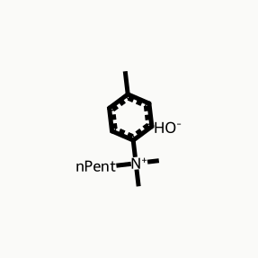 CCCCC[N+](C)(C)c1ccc(C)cc1.[OH-]